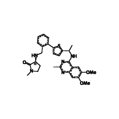 COc1cc2nc(C)nc(NC(C)c3ccc(-c4ccccc4CN[C@H]4CCN(C)C4=O)s3)c2cc1OC